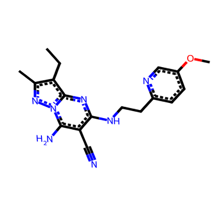 CCc1c(C)nn2c(N)c(C#N)c(NCCc3ccc(OC)cn3)nc12